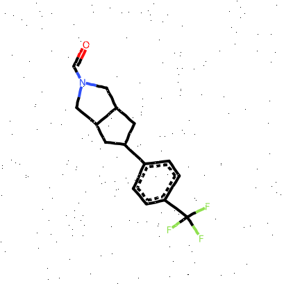 O=CN1CC2CC(c3ccc(C(F)(F)F)cc3)CC2C1